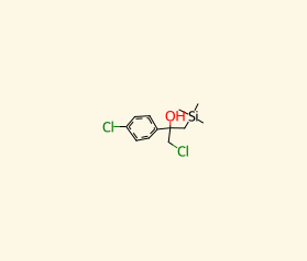 C[Si](C)(C)CC(O)(CCl)c1ccc(Cl)cc1